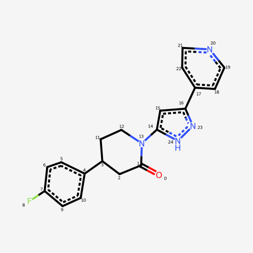 O=C1CC(c2ccc(F)cc2)CCN1c1cc(-c2ccncc2)n[nH]1